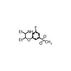 CCC(N)C(CC)Oc1cc(F)cc(S(C)(=O)=O)c1